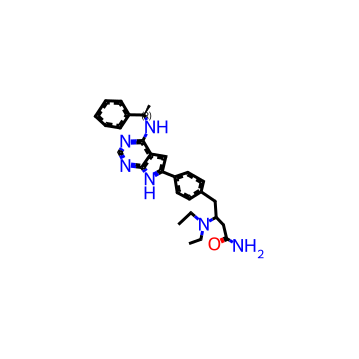 CCN(CC)C(CC(N)=O)Cc1ccc(-c2cc3c(N[C@H](C)c4ccccc4)ncnc3[nH]2)cc1